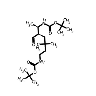 C[C@@H](NC(=O)OC(C)(C)C)[C@H](C=O)CC(C)(C)CCNC(=O)OC(C)(C)C